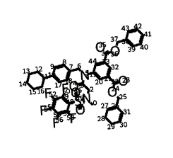 CN(CC(=O)N(Cc1ccc(C2CCCCC2)cc1)c1cc(C(=O)OCC2=CCCC=C2)cc(C(=O)OCc2ccccc2)c1)S(=O)(=O)c1c(F)c(F)c(F)c(F)c1F